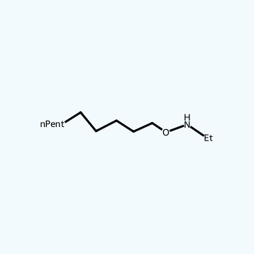 CCCCCCCCCCONCC